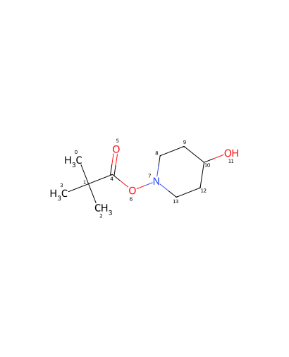 CC(C)(C)C(=O)ON1CCC(O)CC1